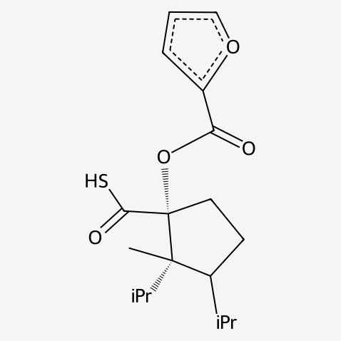 CC(C)C1CC[C@](OC(=O)c2ccco2)(C(=O)S)[C@@]1(C)C(C)C